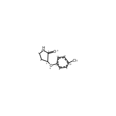 O=C1NCCC1Oc1ccc(Cl)cc1